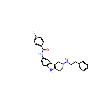 O=C(Nc1ccc2[nH]c3c(c2c1)CC(NCCc1ccccc1)CC3)c1ccc(F)cc1